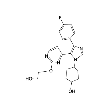 OCCOc1nccc(-c2c(-c3ccc(F)cc3)ncn2C2CCC(O)CC2)n1